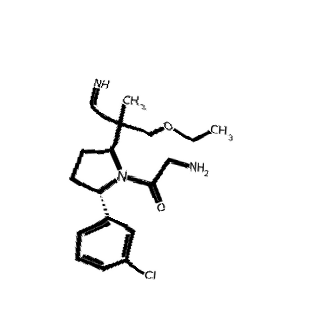 CCOCC(C)(C=N)C1CC[C@@H](c2cccc(Cl)c2)N1C(=O)CN